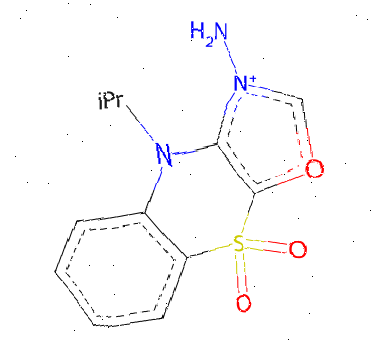 CC(C)N1c2ccccc2S(=O)(=O)c2oc[n+](N)c21